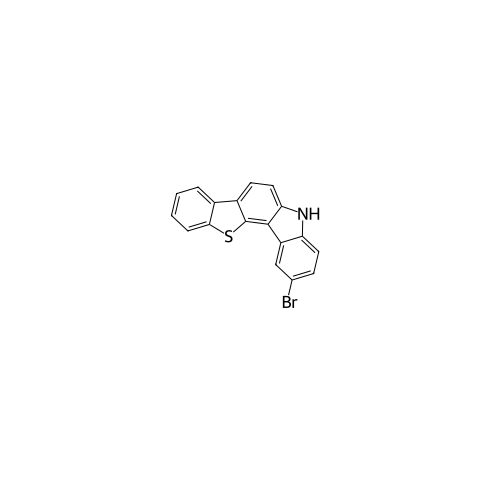 Brc1ccc2[nH]c3ccc4c5ccccc5sc4c3c2c1